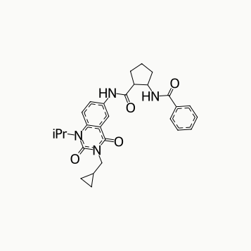 CC(C)n1c(=O)n(CC2CC2)c(=O)c2cc(NC(=O)C3CCCC3NC(=O)c3ccccc3)ccc21